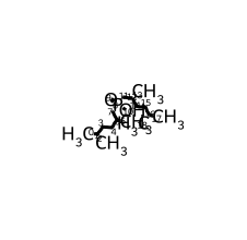 CC(C)CCC(C)CP(=O)(O)CC(C)CCC(C)C